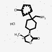 C[C@@H]1COC(=O)N1C1CCC(CN)(c2cccc(Cl)c2)CC1.Cl